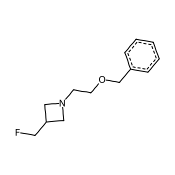 FCC1CN(CCOCc2ccccc2)C1